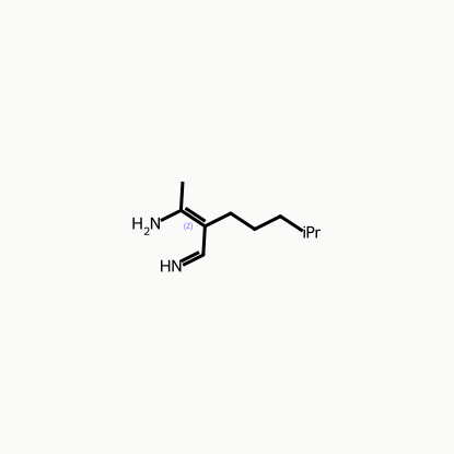 C/C(N)=C(/C=N)CCCC(C)C